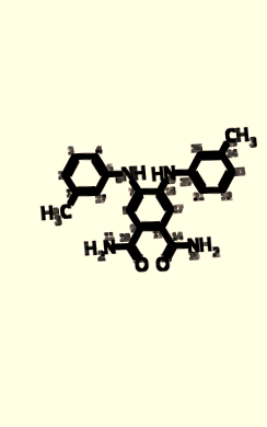 Cc1cccc(Nc2cc(C(N)=O)c(C(N)=O)cc2Nc2cccc(C)c2)c1